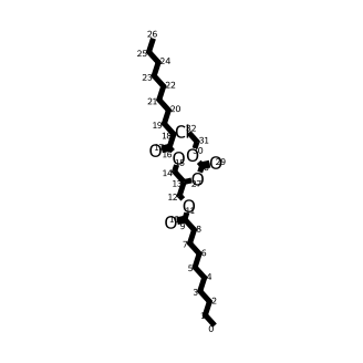 CCCCCCCCCC(=O)OCC(COC(=O)CCCCCCCCC)OC(=O)OCCl